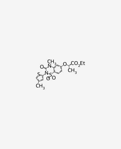 CCOC(=O)[C@@H](C)Oc1ccc2c(c1)N(C)C(=O)N(c1cc(C)cs1)S2(=O)=O